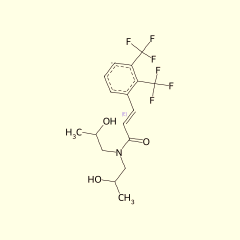 CC(O)CN(CC(C)O)C(=O)/C=C/c1cc[c]c(C(F)(F)F)c1C(F)(F)F